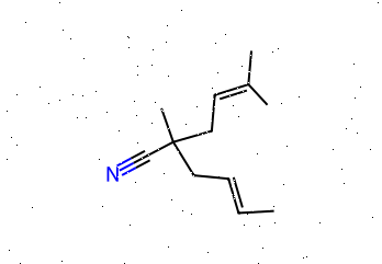 CC=CCC(C)(C#N)CC=C(C)C